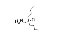 CCCCC(Cl)(CN)CCCC